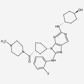 CN1CCN(C(=O)[C@@H]2CC[C@H](n3c(Nc4ccccc4F)nc4cnc(N[C@H]5CC[C@H](O)CC5)nc43)C2)CC1